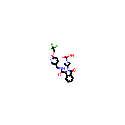 O=C(NCc1ccc(OCC(F)(F)F)nc1)C1c2ccccc2C(=O)N1C1CN(C(=O)O)C1